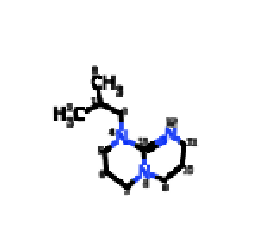 CC(C)CN1CCCN2CCCN=C21